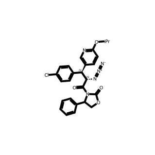 CC(C)Oc1ccc([C@H](c2ccc(Cl)cc2)[C@H](N=[N+]=[N-])C(=O)N2C(=O)OCC2c2ccccc2)cn1